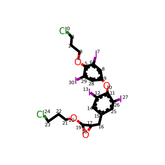 ClCCCOc1c(I)cc(Oc2c(I)cc(CC3OC3OCCCCl)cc2I)cc1I